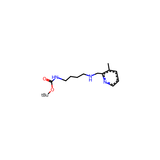 Cc1cccnc1CNCCCCNC(=O)OC(C)(C)C